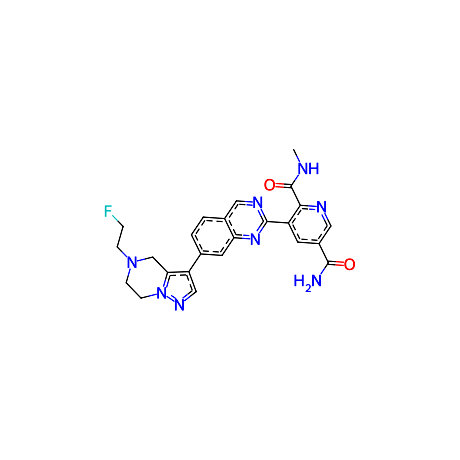 CNC(=O)c1ncc(C(N)=O)cc1-c1ncc2ccc(-c3cnn4c3CN(CCF)CC4)cc2n1